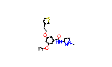 CC(C)Oc1cc(OCCc2ccsc2)cc(C(=O)Nc2ccn(C)n2)c1